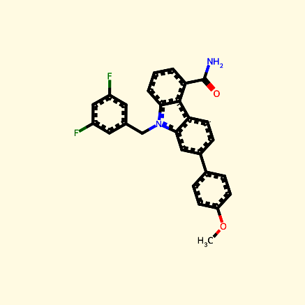 COc1ccc(-c2c[c]c3c4c(C(N)=O)cccc4n(Cc4cc(F)cc(F)c4)c3c2)cc1